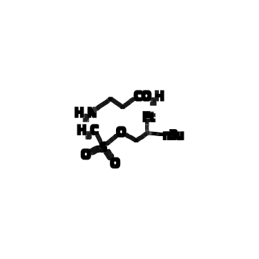 CCCCC(CC)COS(C)(=O)=O.NCCC(=O)O